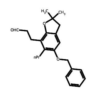 CCCc1c(OCc2ccccc2)cc2c(c1CCC=O)OC(C)(C)C2